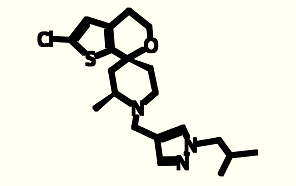 CC(C)Cn1cc(CN2CC[C@]3(C[C@@H]2C)OCCc2cc(Cl)sc23)cn1